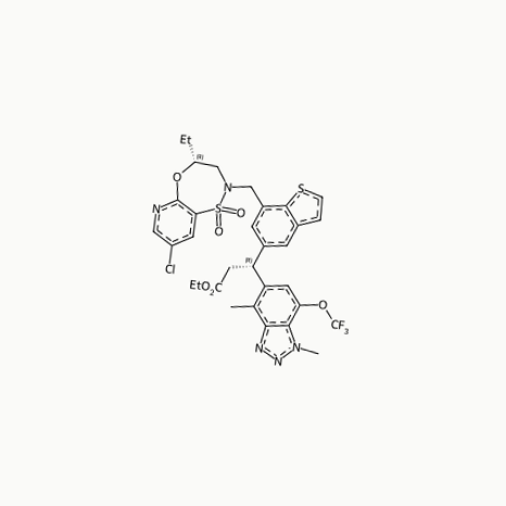 CCOC(=O)C[C@H](c1cc(CN2C[C@@H](CC)Oc3ncc(Cl)cc3S2(=O)=O)c2sccc2c1)c1cc(OC(F)(F)F)c2c(nnn2C)c1C